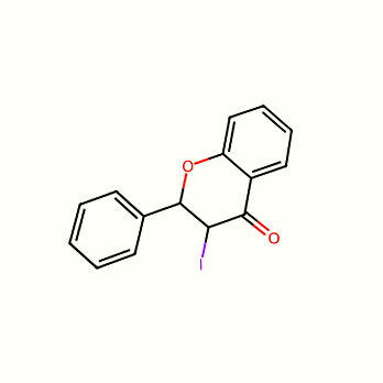 O=C1c2ccccc2OC(c2ccccc2)C1I